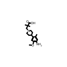 COc1cc(C2CCN(CC(C)(C)C(=O)O)CC2)c(C)cc1N